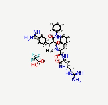 CN(C(=O)C(Cc1ccc(C(=N)N)cc1)C(=O)Nc1ccccc1)C(Cc1ccccc1)C(=O)N[C@@H](CCCNC(=N)N)C(N)=O.O=C(O)C(F)(F)F